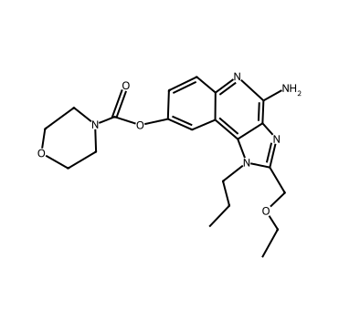 CCCn1c(COCC)nc2c(N)nc3ccc(OC(=O)N4CCOCC4)cc3c21